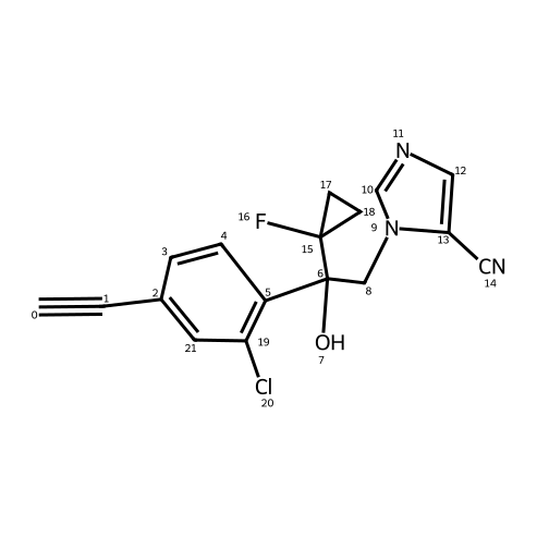 C#Cc1ccc(C(O)(Cn2cncc2C#N)C2(F)CC2)c(Cl)c1